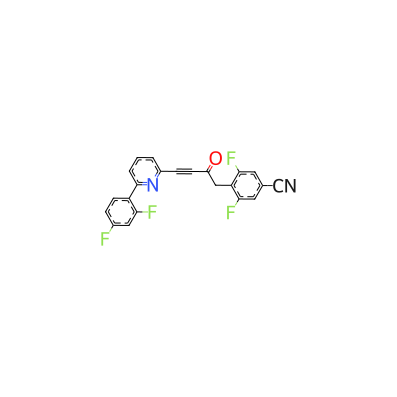 N#Cc1cc(F)c(CC(=O)C#Cc2cccc(-c3ccc(F)cc3F)n2)c(F)c1